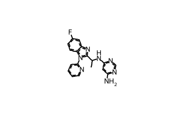 CC(Nc1cc(N)ncn1)c1nc2cc(F)ccc2n1-c1ccccn1